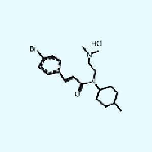 CC1CCC(N(CCN(C)C)C(=O)C=Cc2ccc(Br)cc2)CC1.Cl